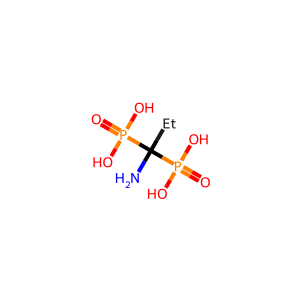 CCC(N)(P(=O)(O)O)P(=O)(O)O